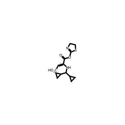 O=C(O)/C=C(\NC(C1CC1)C1CC1)C(=O)OC1=NCCS1